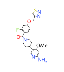 COc1cc(N)ncc1C1CCN(C(=O)c2ccc(OCc3csnn3)cc2F)CC1